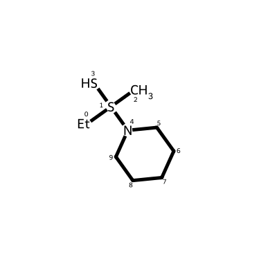 CCS(C)(S)N1CCCCC1